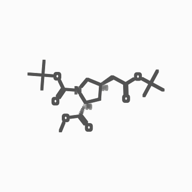 COC(=O)[C@H]1C[C@H](CC(=O)OC(C)(C)C)CN1C(=O)OC(C)(C)C